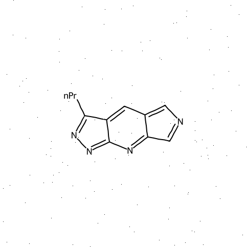 CCCC1=NN=c2nc3c(cc21)=CN=C3